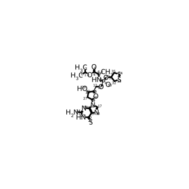 CC(C)OC(=O)[C@H](C)NP(=O)(OC[C@H]1O[C@@H](n2cnc3c(=S)[nH]c(N)nc32)C[C@@H]1O)OC1CSSC1